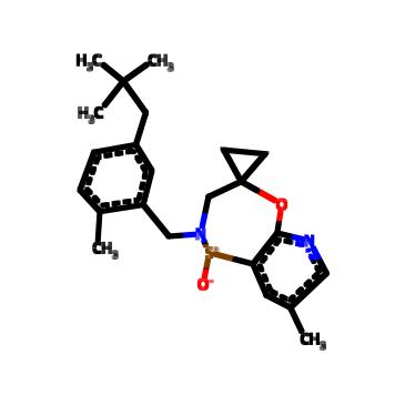 Cc1cnc2c(c1)[S+]([O-])N(Cc1cc(CC(C)(C)C)ccc1C)CC1(CC1)O2